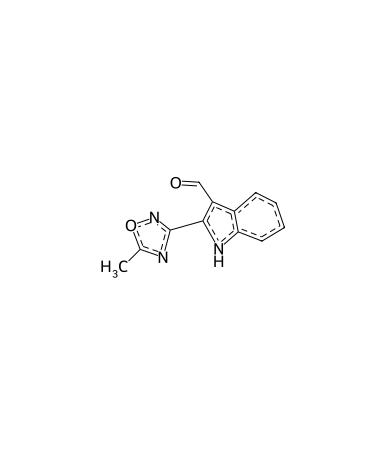 Cc1nc(-c2[nH]c3ccccc3c2C=O)no1